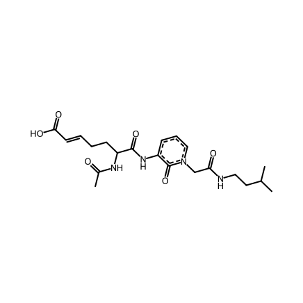 CC(=O)NC(CCC=CC(=O)O)C(=O)Nc1cccn(CC(=O)NCCC(C)C)c1=O